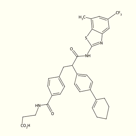 Cc1cc(C(F)(F)F)cc2nc(NC(=O)C(Cc3ccc(C(=O)NCCC(=O)O)cc3)c3ccc(C4=CCCCC4)cc3)sc12